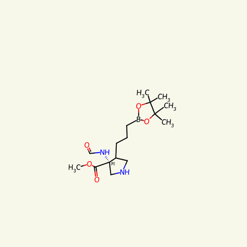 COC(=O)[C@]1(NC=O)CNCC1CCCB1OC(C)(C)C(C)(C)O1